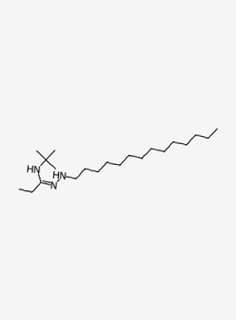 CCCCCCCCCCCCCCN/N=C(/CC)NC(C)(C)C